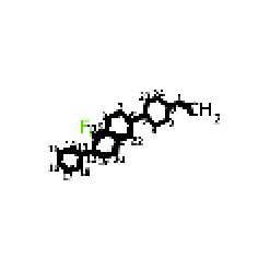 C=CC1CCC(c2ccc3c(F)c(-c4ccccc4)ccc3c2)CC1